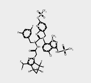 Cn1nc(NS(C)(=O)=O)c2c(Cl)ccc(N3Cc4ccc(OS(=O)(=O)C(F)(F)F)nc4N=C3[C@H](Cc3cc(F)cc(F)c3)NC(=O)Cn3nc(C(F)F)c4c3C(F)(F)[C@@H]3C[C@H]43)c21